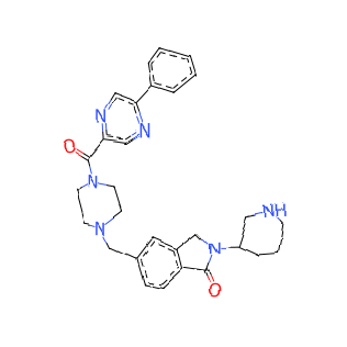 O=C(c1cnc(-c2ccccc2)cn1)N1CCN(Cc2ccc3c(c2)CN(C2CCCNC2)C3=O)CC1